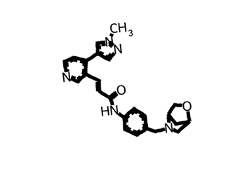 Cn1cc(-c2ccncc2/C=C/C(=O)Nc2ccc(CN3CC4CC3CO4)cc2)cn1